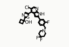 OC1(c2ncc(-c3c(Cl)cnc4[nH]c(-c5ccc(CN6CCC(F)(F)CC6)c(F)c5)cc34)s2)CCC1